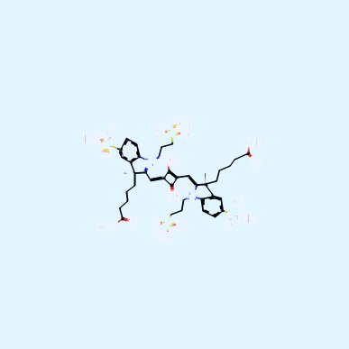 C[C@]1(CCCCC(=O)O)C(=CC2=C(O)C(=CC3=[N+](CCCS(=O)(=O)O)c4ccc(S(=O)(=O)O)cc4[C@@]3(C)CCCCC(=O)O)C2=O)N(CCCS(=O)(=O)O)c2ccc(S(=O)(=O)O)cc21